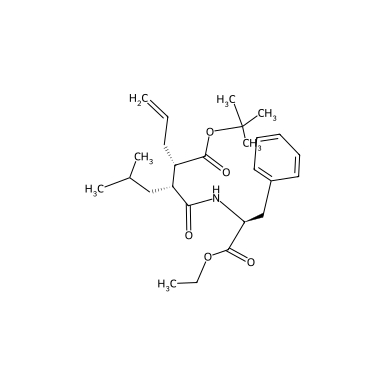 C=CC[C@H](C(=O)OC(C)(C)C)[C@@H](CC(C)C)C(=O)N[C@@H](Cc1ccccc1)C(=O)OCC